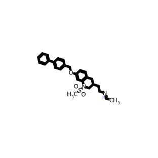 C/C=N/CCC1Cc2ccc(OCc3ccc(-c4ccccc4)cc3)cc2N(S(C)(=O)=O)C1